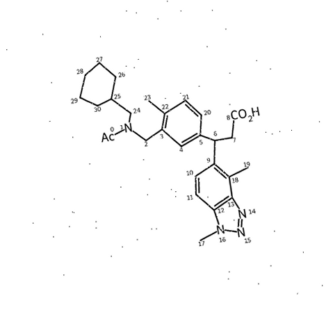 CC(=O)N(Cc1cc(C(CC(=O)O)c2ccc3c(nnn3C)c2C)ccc1C)CC1CCCCC1